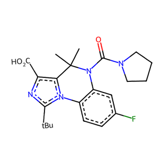 CC(C)(C)c1nc(C(=O)O)c2n1-c1ccc(F)cc1N(C(=O)N1CCCC1)C2(C)C